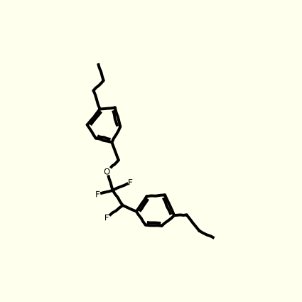 CCCc1ccc(COC(F)(F)C(F)c2ccc(CCC)cc2)cc1